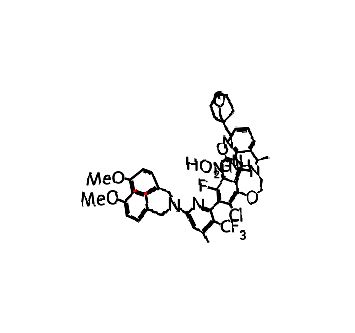 COc1ccc(CN(Cc2ccc(OC)cc2)c2cc(C)c(C(F)(F)F)c(-c3c(Cl)c4c5c(nc(OCC67CCC(CC6)OC7)nc5c3F)N([C@H](C)c3cccnc3NC(=O)O)CCO4)n2)cc1